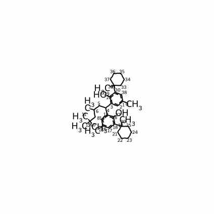 Cc1cc(C(CC(C)CC(C)(C)C)c2cc(C)cc(C3(C)CCCCC3)c2O)c(O)c(C2(C)CCCCC2)c1